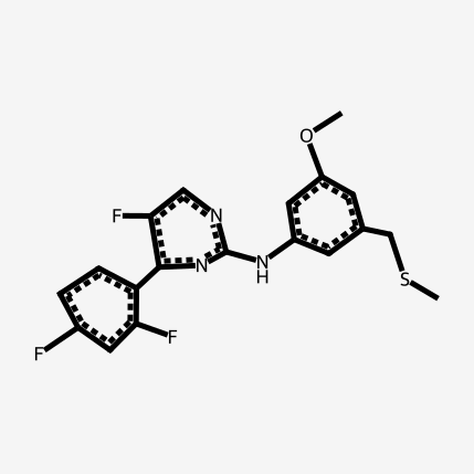 COc1cc(CSC)cc(Nc2ncc(F)c(-c3ccc(F)cc3F)n2)c1